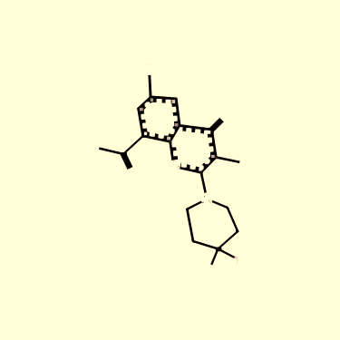 CC(=O)c1cc(F)cc2c(=O)c(C)c(N3CCC(F)(F)CC3)oc12